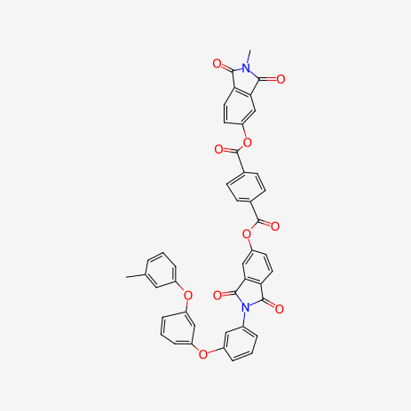 Cc1cccc(Oc2cccc(Oc3cccc(N4C(=O)c5ccc(OC(=O)c6ccc(C(=O)Oc7ccc8c(c7)C(=O)N(C)C8=O)cc6)cc5C4=O)c3)c2)c1